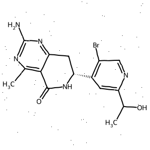 Cc1nc(N)nc2c1C(=O)N[C@@H](c1cc(C(C)O)ncc1Br)C2